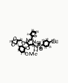 COc1ccccc1Oc1c(NS(=O)(=O)c2ccc(C(C)(C)C)cc2)nc(-c2cccs2)nc1OCC1COCO1